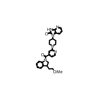 COCCC1CN(C(=O)c2ccnc(N3CCC(n4c(=O)[nH]c5ncccc54)CC3)c2)c2ccccc21